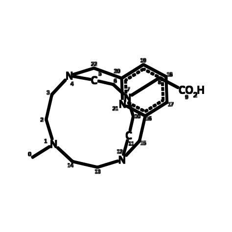 CN1CCN2CCN(CC(=O)O)CCN(CC1)Cc1cccc(n1)C2